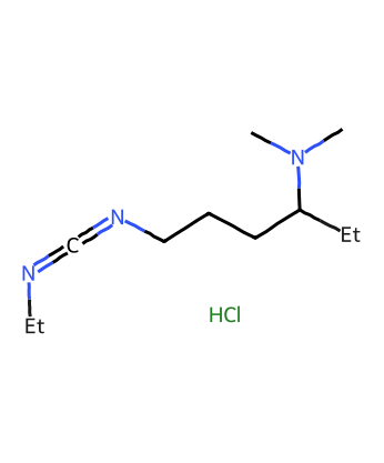 CCN=C=NCCCC(CC)N(C)C.Cl